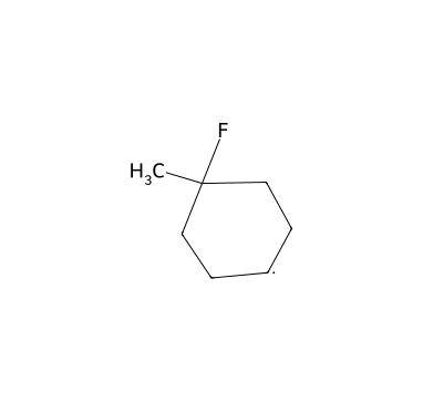 CC1(F)CC[CH]CC1